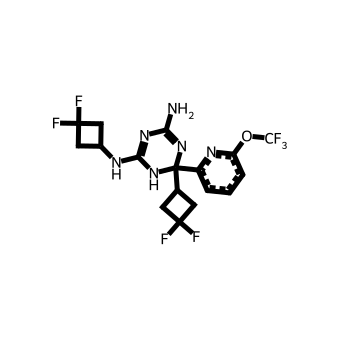 NC1=NC(c2cccc(OC(F)(F)F)n2)(C2CC(F)(F)C2)NC(NC2CC(F)(F)C2)=N1